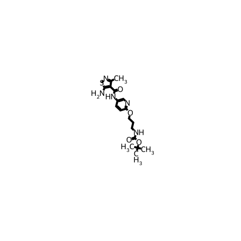 Cc1nsc(N)c1C(=O)Nc1ccc(OCCCNC(=O)OC(C)(C)C)nc1